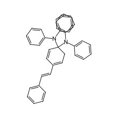 C(=Cc1ccccc1)C1=CCC(N(c2ccccc2)c2ccccc2)(N(c2ccccc2)c2ccccc2)C=C1